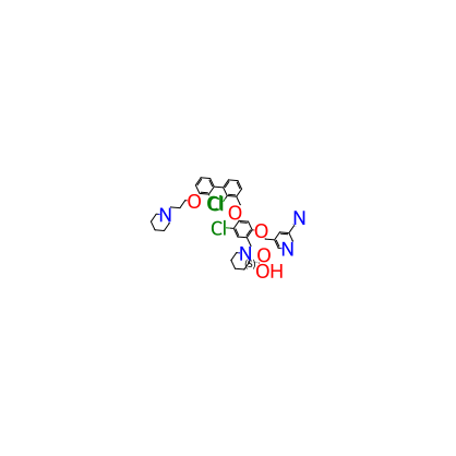 N#Cc1cncc(COc2cc(OCc3cccc(-c4cccc(OCCCN5CCCCC5)c4Cl)c3Cl)c(Cl)cc2CN2CCCC[C@H]2C(=O)O)c1